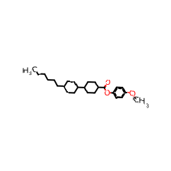 CCCCCCC1CCC(C2CCC(C(=O)Oc3ccc(OC)cc3)CC2)CC1